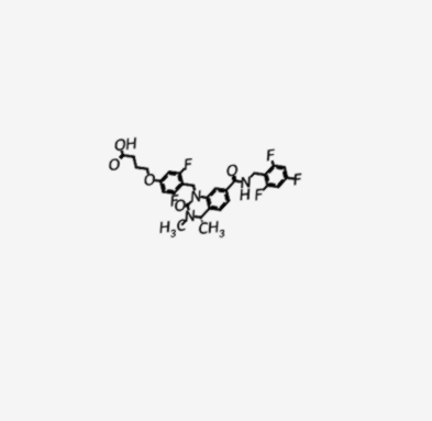 C[C@H]1c2ccc(C(=O)NCc3c(F)cc(F)cc3F)cc2N(Cc2c(F)cc(OCCCC(=O)O)cc2F)C(=O)N1C